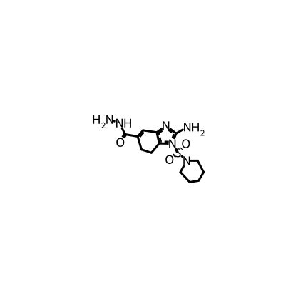 NNC(=O)C1=Cc2nc(N)n(S(=O)(=O)N3CCCCC3)c2CC1